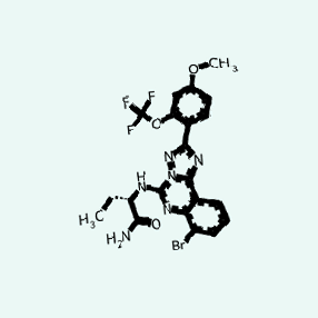 CC[C@H](Nc1nc2c(Br)cccc2c2nc(-c3ccc(OC)cc3OC(F)(F)F)nn12)C(N)=O